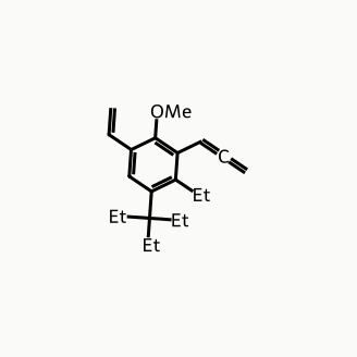 C=C=Cc1c(CC)c(C(CC)(CC)CC)cc(C=C)c1OC